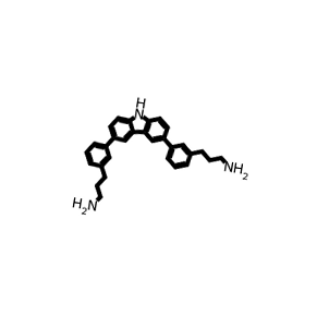 NCCCc1cccc(-c2ccc3[nH]c4ccc(-c5cccc(CCCN)c5)cc4c3c2)c1